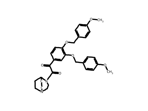 COc1ccc(COc2ccc(C(=O)C(=O)N3CCN4CCC3CC4)cc2OCc2ccc(OC)cc2)cc1